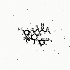 CC1=C(C#N)[C@@H](c2ccc(C#N)cc2S(C)(=O)=O)N(C(=O)N(C)CC(O)CN(C)C)C(=O)N1c1cccc(C(F)(F)F)c1